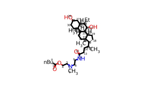 CCCCC(=O)OCCN(C)CCNC(=O)CC[C@@H](C)[C@H]1CC[C@H]2[C@@H]3[C@H](O)[C@H](CC)[C@@H]4C[C@H](O)CC[C@]4(C)[C@H]3CC[C@]12C